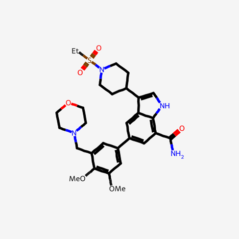 CCS(=O)(=O)N1CCC(c2c[nH]c3c(C(N)=O)cc(-c4cc(CN5CCOCC5)c(OC)c(OC)c4)cc23)CC1